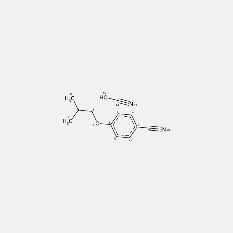 CC(C)COc1ccc(C#N)cc1.N#CO